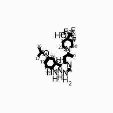 C=C(/C=C(\N=C/N)[C@@H]1NN[C@@H]2CC=C(OC(C)C)C[C@@H]21)N1CCC(O)(C(F)(F)F)CC1